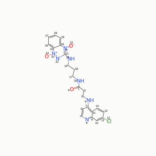 O=C(CCNc1ccnc2cc(Cl)ccc12)NCCCNc1n[n+]([O-])c2ccccc2[n+]1[O-]